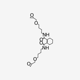 O=C(NCCCCOCC1CO1)C1=C(C(=O)NCCCCOCC2CO2)CCCC1